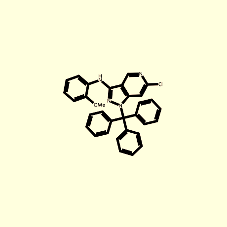 COc1ccccc1Nc1nn(C(c2ccccc2)(c2ccccc2)c2ccccc2)c2cc(Cl)ncc12